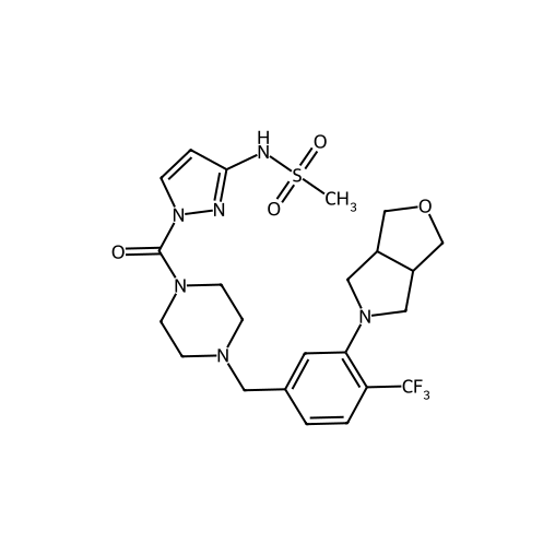 CS(=O)(=O)Nc1ccn(C(=O)N2CCN(Cc3ccc(C(F)(F)F)c(N4CC5COCC5C4)c3)CC2)n1